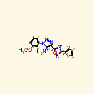 COc1cccc(-n2nnc(-c3nc(-c4cccs4)no3)c2N)c1